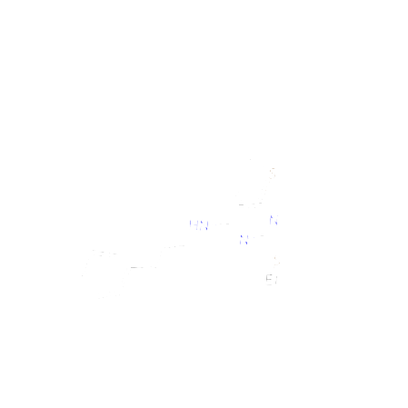 CCSc1nc(NCCCc2ccccc2)c2cc(C)sc2n1